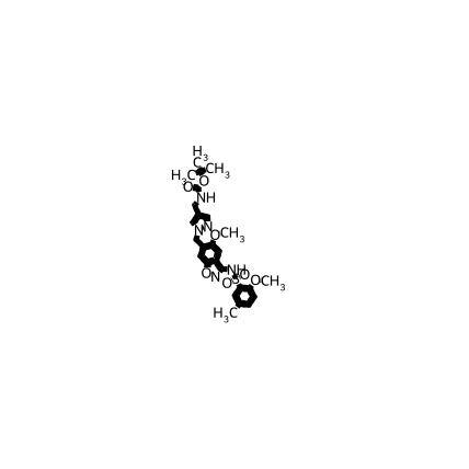 COc1cc2c(NS(=O)(=O)c3cc(C)ccc3OC)noc2cc1Cn1cc(CNC(=O)OC(C)(C)C)cn1